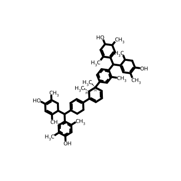 CC1=CC(O)C(C)C=C1C(C1=CC(C)=C(O)CC1C)c1ccc([C@@]2(C)C=CC=C(C3=CC=C(C(c4cc(C)c(O)cc4C)C4CC(C)=C(O)C=C4C)CC3)[C@@H]2C)cc1C